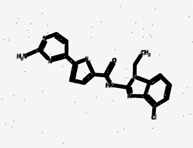 CCn1c(NC(=O)c2ccc(-c3ccnc(N)n3)s2)nc2c(Cl)cccc21